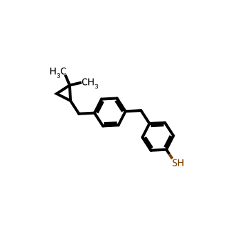 CC1(C)CC1Cc1ccc(Cc2ccc(S)cc2)cc1